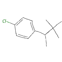 CC(c1ccc(Cl)cc1)C(C)(C)C